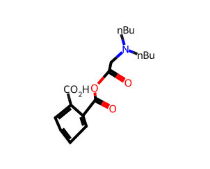 CCCCN(CCCC)CC(=O)OC(=O)c1ccccc1C(=O)O